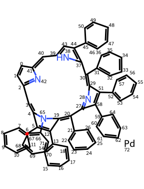 C1=Cc2cc3c(-c4ccccc4)c(-c4ccccc4)c(c(-c4ccccc4)c4nc(c(-c5ccccc5)c5[nH]c(cc1n2)cc5-c1ccccc1)C(c1ccccc1)=C4c1ccccc1)n3-c1ccccc1.[Pd]